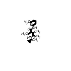 C/C=C(C(=O)Nc1cccc(C)n1)/C(C)=C(/N)NC1(C)CC1